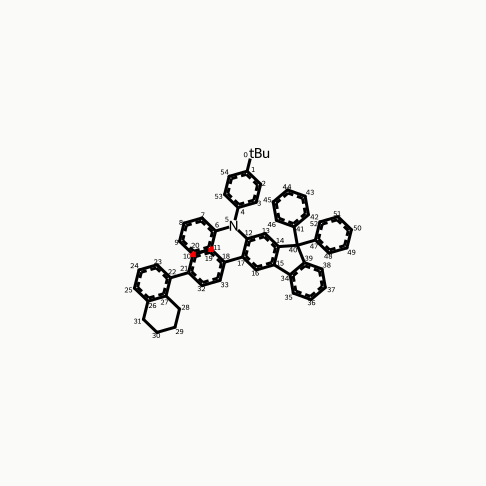 CC(C)(C)c1ccc(N(c2ccccc2)c2cc3c(cc2-c2ccc(-c4cccc5c4CCCC5)cc2)-c2ccccc2C3(c2ccccc2)c2ccccc2)cc1